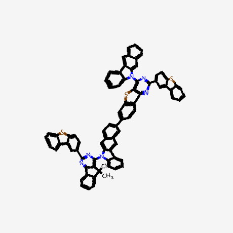 CC1(C)c2ccccc2-c2nc(-c3ccc4sc5ccccc5c4c3)nc(-n3c4ccccc4c4cc5cc(-c6ccc7c(c6)sc6c(-n8c9ccccc9c9cc%10ccccc%10cc98)nc(-c8ccc9sc%10ccccc%10c9c8)nc67)ccc5cc43)c21